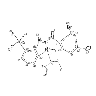 CCC(CC)[N+]1(C)C(Nc2ccc(Cl)cc2Br)=Nc2c(C(F)(F)F)cccc21